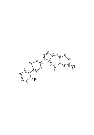 Fc1cccnc1C1=CCC(N2N=CN3CC4=C(C=C(Cl)CC4)NC=C32)CC1